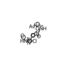 CC(=O)N1CCC[C@H](C(C)NC(=O)CN2Cc3ccc(-c4nc(NC5CCOCC5)ncc4Cl)cc3C2=O)C1